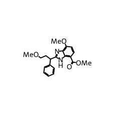 COCCC(c1ccccc1)c1nc2c(OC)ccc(C(=O)OC)c2[nH]1